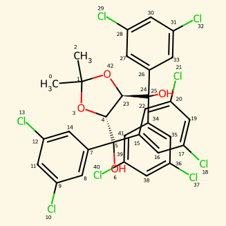 CC1(C)O[C@@H](C(O)(c2cc(Cl)cc(Cl)c2)c2cc(Cl)cc(Cl)c2)[C@H](C(O)(c2cc(Cl)cc(Cl)c2)c2cc(Cl)cc(Cl)c2)O1